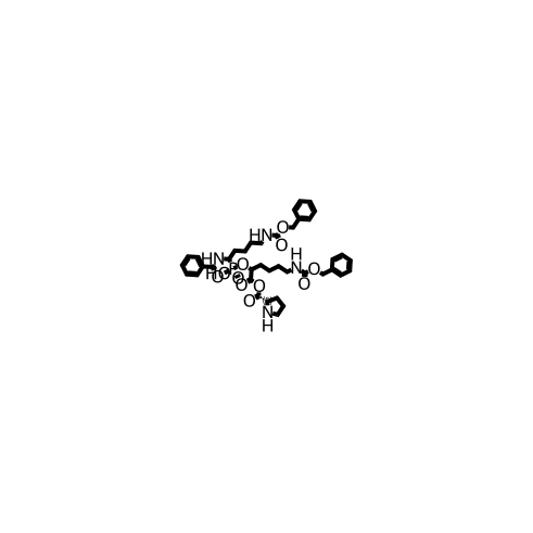 O=C(NCCCCC(OP(=O)(O)C(CCCCNC(=O)OCc1ccccc1)NC(=O)c1ccccc1)C(=O)OC(=O)[C@@H]1CCCN1)OCc1ccccc1